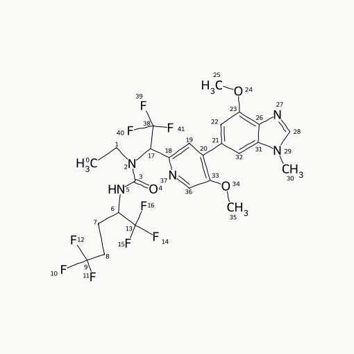 CCN(C(=O)NC(CCC(F)(F)F)C(F)(F)F)C(c1cc(-c2cc(OC)c3ncn(C)c3c2)c(OC)cn1)C(F)(F)F